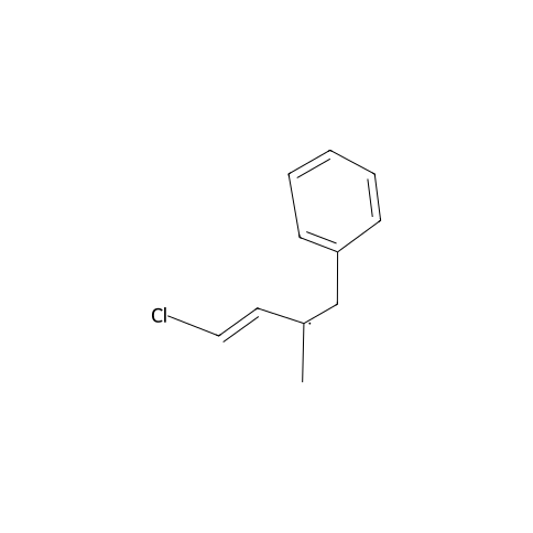 C[C](C=CCl)Cc1ccccc1